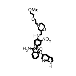 COCCOCCN1CCOC(CNc2ccc(S(=O)(=O)C3(Oc4cnc5[nH]ccc5c4)C=CC=CC3C(N)=O)cc2[N+](=O)[O-])C1